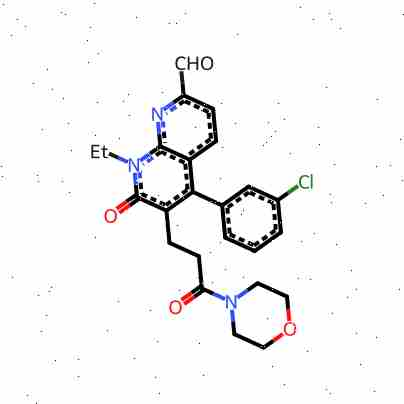 CCn1c(=O)c(CCC(=O)N2CCOCC2)c(-c2cccc(Cl)c2)c2ccc(C=O)nc21